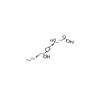 CCCCCC#CCC(O)c1ccc(C#C[C@@H](O)CCCC(=O)O)cc1